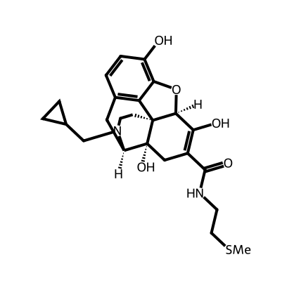 CSCCNC(=O)C1=C(O)[C@@H]2Oc3c(O)ccc4c3[C@@]23CCN(CC2CC2)[C@H](C4)[C@]3(O)C1